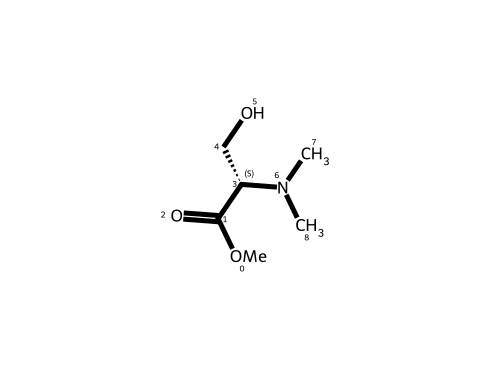 COC(=O)[C@H](CO)N(C)C